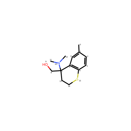 Cc1ccc2c(c1)C(CO)(N(C)C)CCS2